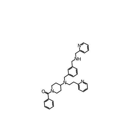 O=C(c1ccccc1)N1CCC(N(CCc2ccccn2)Cc2cccc(CNCc3ccccn3)c2)CC1